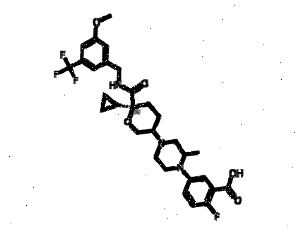 COc1cc(CNC(=O)[C@@]2(C3CC3)CCC(N3CCN(c4ccc(F)c(C(=O)O)c4)C(C)C3)CO2)cc(C(F)(F)F)c1